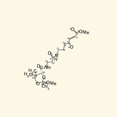 COC(=O)/C=C/C(=O)SCCNC(=O)CCNC(=O)[C@@H]1OC(C)(OC)OCC1(C)C